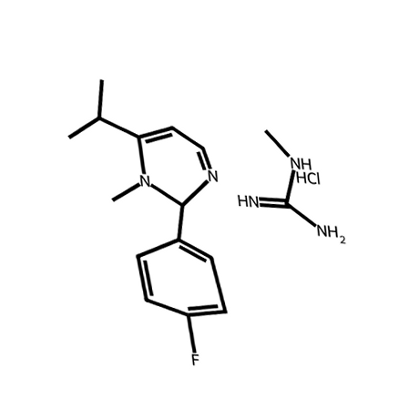 CC(C)C1=CC=NC(c2ccc(F)cc2)N1C.CNC(=N)N.Cl